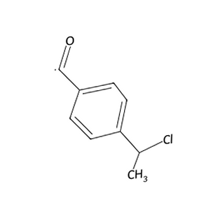 CC(Cl)c1ccc([C]=O)cc1